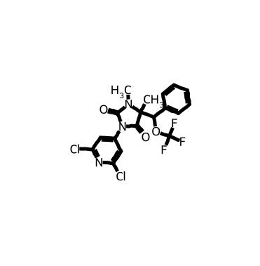 CN1C(=O)N(c2cc(Cl)nc(Cl)c2)C(=O)C1(C)C(OC(F)(F)F)c1ccccc1